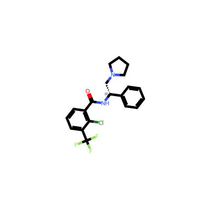 O=C(N[C@H](CN1CCCC1)c1ccccc1)c1cccc(C(F)(F)F)c1Cl